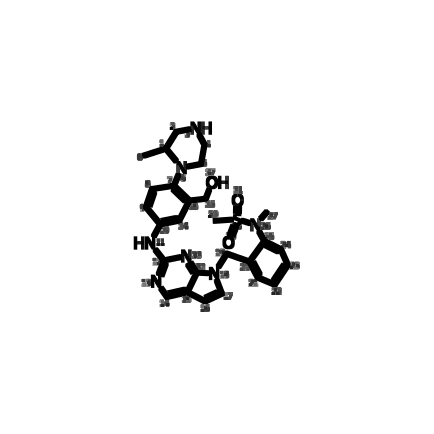 CC1CNCCN1c1ccc(Nc2ncc3ccn(Cc4ccccc4N(C)S(C)(=O)=O)c3n2)cc1CO